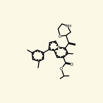 C=C(c1c(C)c(C(=O)OC(C)C)cc2c(-c3cc(C)cc(C)c3)ccn12)C1CNCCO1